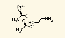 CC(=O)[O-].CC(=O)[O-].NCCO.[Pt+2]